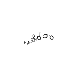 NC[C@H]1CN(c2ccc(C3=CCN(Cc4ccccc4)CC3)c(F)c2)C(=O)O1